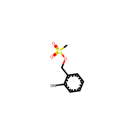 CS(=O)(=O)OCc1ccccc1N=O